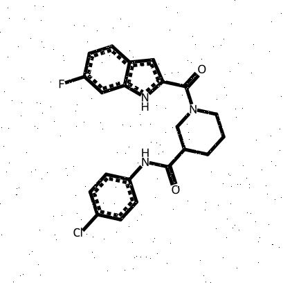 O=C(Nc1ccc(Cl)cc1)C1CCCN(C(=O)c2cc3ccc(F)cc3[nH]2)C1